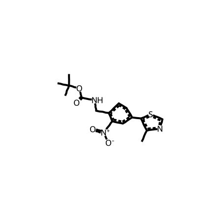 Cc1ncsc1-c1ccc(CNC(=O)OC(C)(C)C)c([N+](=O)[O-])c1